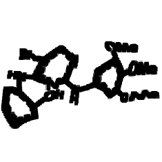 COc1cc(Nc2ncc(Br)c(Nc3ccccc3O)n2)cc(OC)c1OC